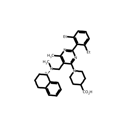 CCc1cccc(CC)c1-c1nc(C)c(CN(C)[C@H]2CCCc3ccccc32)c(N2CCC(C(=O)O)CC2)n1